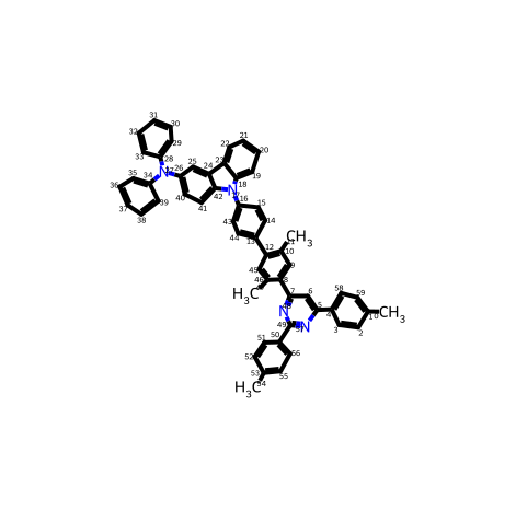 Cc1ccc(-c2cc(-c3cc(C)c(-c4ccc(-n5c6ccccc6c6cc(N(c7ccccc7)c7ccccc7)ccc65)cc4)cc3C)nc(-c3ccc(C)cc3)n2)cc1